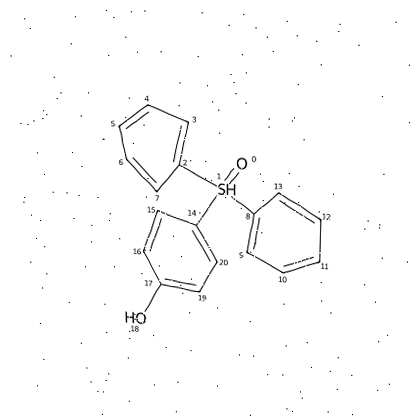 O=[SH](c1ccccc1)(c1ccccc1)c1ccc(O)cc1